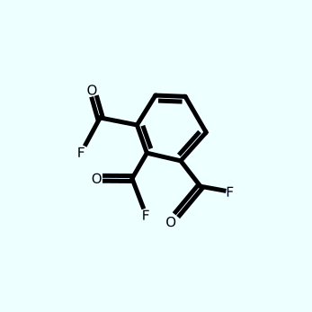 O=C(F)c1cccc(C(=O)F)c1C(=O)F